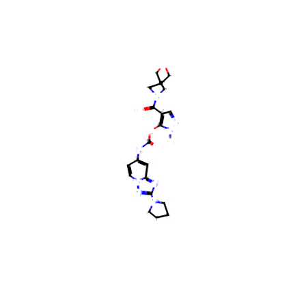 Cn1ncc(C(=O)N2CC3(COC3)C2)c1OC(=O)Nc1ccn2nc(N3CCCC3)nc2c1